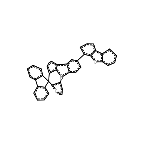 c1ccc2c(c1)-c1ccccc1C21c2ccccc2-n2c3ccc(-c4cccc5c4oc4ccccc45)cc3c3cccc1c32